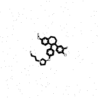 FCCCN1CC[C@H](Oc2ccc(C3=C(c4ccc(Cl)c(F)c4)CCCc4cc(OF)ccc43)cc2)C1